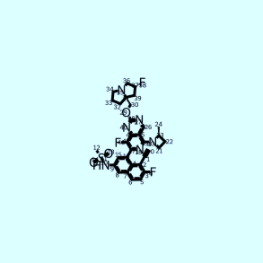 C#Cc1c(F)ccc2cc(NS(C)(=O)=O)cc(-c3nc(N4CC[C@@H]4C)c4cnc(OC[C@@]56CCCN5C[C@H](F)C6)nc4c3F)c12